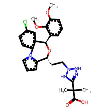 COc1cccc([C@H]2O[C@H](CCN3NN=C(C(C)(C)C(=O)O)N3)c3cccn3-c3ccc(Cl)cc32)c1OC